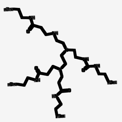 CCCCCCCCCCCCNC(=O)CCNCCN(CCNC(=O)NCCCCCCCCCCCC)CCN(CCC(=O)NCCCCCCCCCCCC)CCC(=O)NCCCCCCCCCCCC